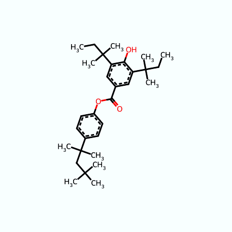 CCC(C)(C)c1cc(C(=O)Oc2ccc(C(C)(C)CC(C)(C)C)cc2)cc(C(C)(C)CC)c1O